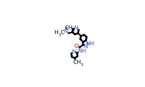 Cc1ccnc(NC(=O)c2n[nH]c3ccc(-c4cncc(CN(C)C)c4)cc23)c1